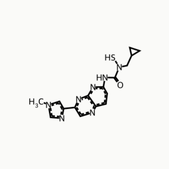 Cn1cnc(-c2cnc3ccc(NC(=O)N(S)CC4CC4)nc3n2)c1